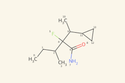 CCC(C)C(F)(C(N)=O)C(C)C1CC1